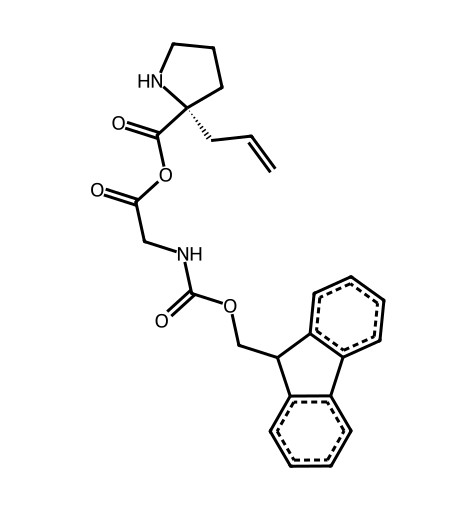 C=CC[C@@]1(C(=O)OC(=O)CNC(=O)OCC2c3ccccc3-c3ccccc32)CCCN1